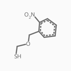 O=[N+]([O-])c1ccccc1COCS